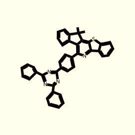 CC1(C)c2ccccc2-c2c(-c3ccc(-c4nc(-c5ccccc5)nc(-c5ccccc5)n4)cc3)nc3c(sc4ccccc43)c21